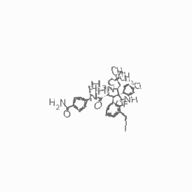 CC(C)(C)C[C@@H]1N[C@@H](C(=O)Nc2ccc(C(N)=O)cc2)[C@H](c2cccc(CI)c2F)[C@]12C(=O)Nc1cc(Cl)ccc12